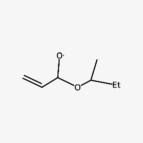 C=CC([O])OC(C)CC